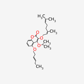 CCC=CCCOc1cccc2oc(=O)c(OCC=C(C)CCC=C(C)C)c(OC(C)C)c12